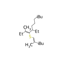 CC/C(C)=C(\S/C=C(\C)C(C)CC)C(CC)CCCC(C)CC